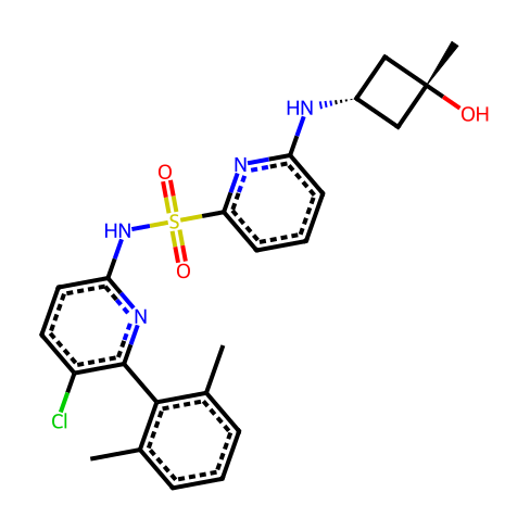 Cc1cccc(C)c1-c1nc(NS(=O)(=O)c2cccc(N[C@H]3C[C@@](C)(O)C3)n2)ccc1Cl